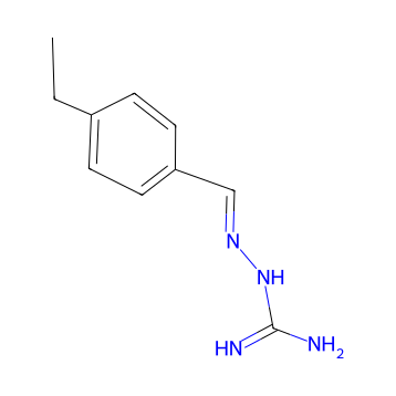 CCc1ccc(C=NNC(=N)N)cc1